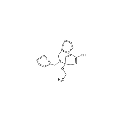 CCOC1(N(Cc2ccccc2)Cc2ccccc2)C=CC(O)=CC1